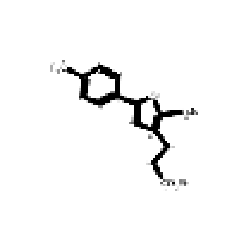 CCCCc1oc(-c2ccc(C(F)(F)F)cc2)cc1CCC(=O)OCC